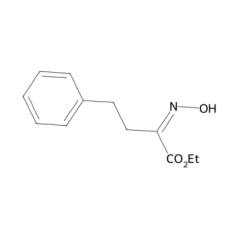 CCOC(=O)C(CCc1ccccc1)=NO